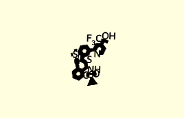 C[C@@](O)(c1ccnc(-c2cccc3cc([C@H](NS(=O)(=O)C4CC4)c4ccccc4C#C[Si](C)(C)C)sc23)c1)C(F)(F)F